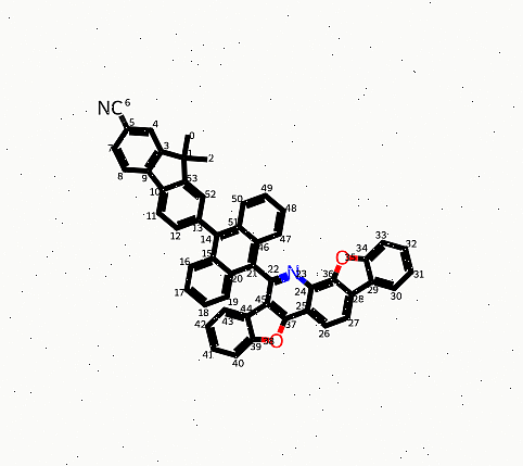 CC1(C)c2cc(C#N)ccc2-c2ccc(-c3c4ccccc4c(-c4nc5c(ccc6c7ccccc7oc65)c5oc6ccccc6c45)c4ccccc34)cc21